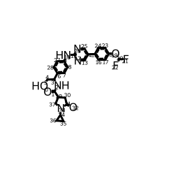 O=C(NC(CO)c1ccc(Nc2ncc(-c3ccc(OC(F)F)cc3)cn2)cc1)C1CC(=O)N(C2CC2)C1